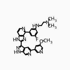 COc1cncc(-c2cc3c(-c4nc5c(-c6cc(F)cc(NCCN(C)C)c6)nccc5[nH]4)n[nH]c3cn2)c1